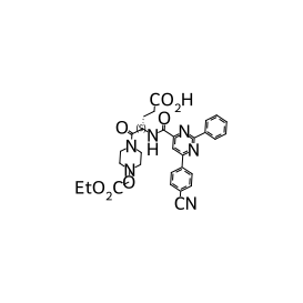 CCOC(=O)ON1CCN(C(=O)[C@H](CCC(=O)O)NC(=O)c2cc(-c3ccc(C#N)cc3)nc(-c3ccccc3)n2)CC1